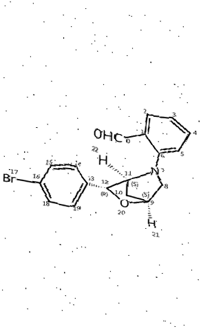 O=Cc1ccccc1N1C[C@@H]2C[C@H]1[C@@H](c1ccc(Br)cc1)O2